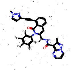 [2H]c1c([2H])c([2H])c(-n2c([C@H](C)NC(=O)c3c(C)nn4cccnc34)cc3cccc(C#Cc4ccn(C)n4)c3c2=O)c([2H])c1[2H]